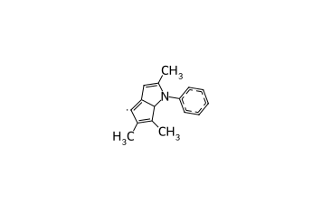 CC1=CC2=[C]C(C)=C(C)C2N1c1ccccc1